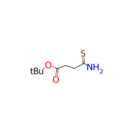 CC(C)(C)OC(=O)CCC(N)=S